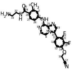 Cc1cc(Nc2nccn3c(-c4ccc(OCC#N)c(F)c4F)cnc23)ccc1C(=O)NCCN